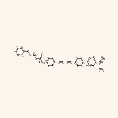 NC[C@H](NC(=O)c1ccc(C#CC#Cc2ccc(NC(=O)CNCCc3ccccc3)cc2)cc1)C(=O)NO